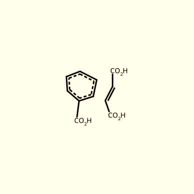 O=C(O)C=CC(=O)O.O=C(O)c1ccccc1